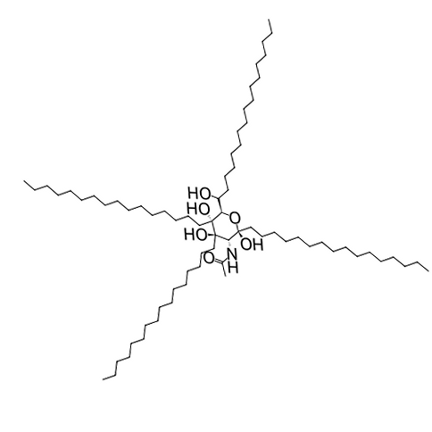 CCCCCCCCCCCCCCCCC(O)[C@H]1O[C@](O)(CCCCCCCCCCCCCCCC)[C@H](NC(C)=O)[C@](O)(CCCCCCCCCCCCCCCC)[C@@]1(O)CCCCCCCCCCCCCCCC